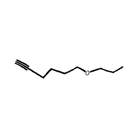 C#CCCC[CH]OCCC